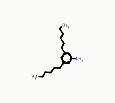 CCCCCCc1cc(N)cc(CCCCCC)c1